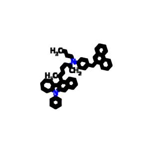 C=C/C=C/N(C(=C)/C=C\C=C(/C)c1c2ccccc2cc2c1c1c(n2-c2ccccc2)C=CCC=C1)C1C=CC(Cc2cc3ccccc3c3c2CCC=C3)=CC1